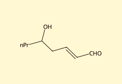 CCCC(O)CC=CC=O